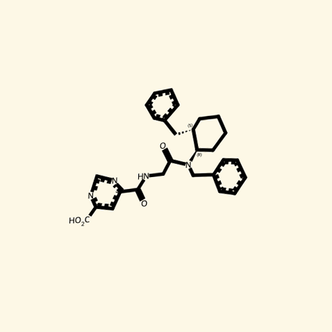 O=C(O)c1cc(C(=O)NCC(=O)N(Cc2ccccc2)[C@@H]2CCCC[C@H]2Cc2ccccc2)ncn1